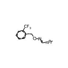 CCCC=NOCc1ccccc1C(F)(F)F